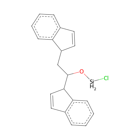 Cl[SiH2]OC(CC1C=Cc2ccccc21)C1C=Cc2ccccc21